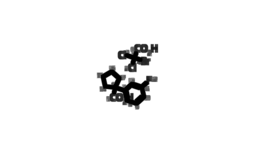 O=C(O)C(Cl)(Cl)Br.O=C(O)C1(c2cccc(F)c2)CCCC1